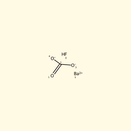 F.O=C([O-])[O-].[Ba+2]